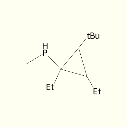 CCC1C(C(C)(C)C)C1(CC)PC